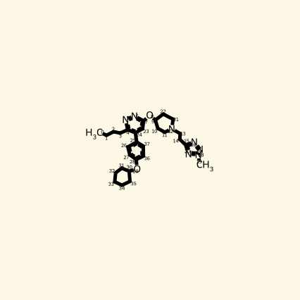 CCCCc1nnc(OC2CCN(CCc3nnn(C)n3)CC2)cc1-c1ccc(OC2CCCCC2)cc1